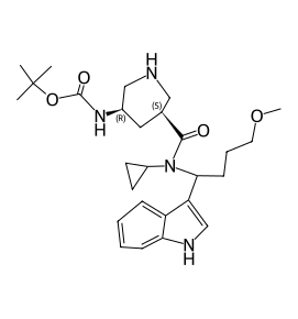 COCCCC(c1c[nH]c2ccccc12)N(C(=O)[C@@H]1CNC[C@H](NC(=O)OC(C)(C)C)C1)C1CC1